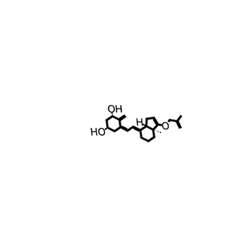 C=C(C)COC1=CC[C@H]2/C(=C/C=C3/C[C@@H](O)C[C@H](O)C3=C)CCC[C@]12C